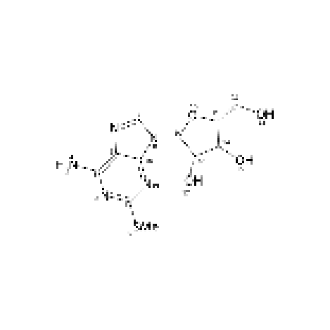 CSc1nc(N)c2ncn([C@@H]3O[C@H](CO)C(O)[C@@H]3O)c2n1